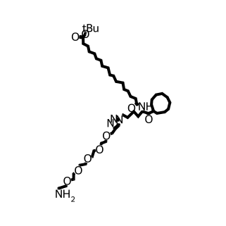 CC(C)(C)OC(=O)CCCCCCCCCCCCCCCCC(=O)NC(CCCCn1cc(COCCOCCOCCOCCOCCN)nn1)C(=O)C1CCCCCCCCC1